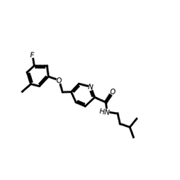 Cc1cc(F)cc(OCc2ccc(C(=O)NCCC(C)C)nc2)c1